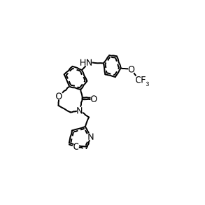 O=C1c2cc(Nc3ccc(OC(F)(F)F)cc3)ccc2OCCN1Cc1ccccn1